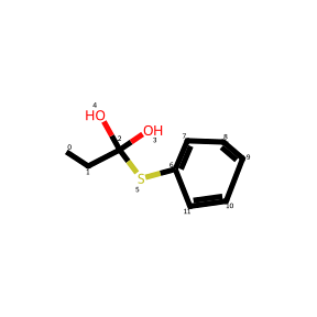 CCC(O)(O)Sc1c[c]ccc1